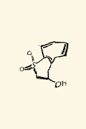 O=S1(=O)CC(O)c2ccc[c]c21